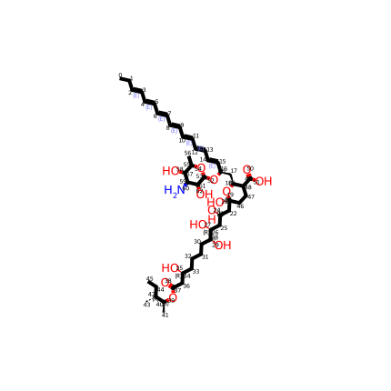 CC/C=C/C=C/C=C/C=C/C=C/C=C/C=C/[C@@H](C[C@@H]1O[C@](O)(C[C@@H](O)C[C@@H](O)[C@H](O)CCCC[C@@H](O)CC(=O)O[C@@H](C)[C@H](C)CC)CCC1C(=O)O)OC1OC(C)C(O)C(N)C1O